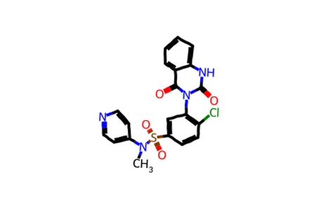 CN(c1ccncc1)S(=O)(=O)c1ccc(Cl)c(-n2c(=O)[nH]c3ccccc3c2=O)c1